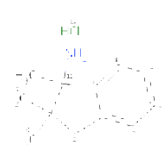 CC1(C)Cc2ccccc2C1(C)N.Cl